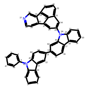 c1ccc(-n2c3ccccc3c3cc(-c4ccc5c6ccccc6n(-c6cc7c8c(cccc8c6)-c6cnccc6-7)c5c4)ccc32)cc1